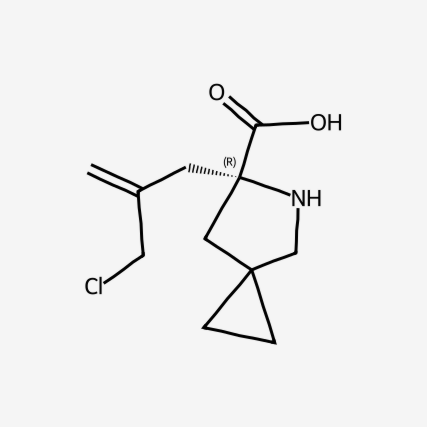 C=C(CCl)C[C@@]1(C(=O)O)CC2(CC2)CN1